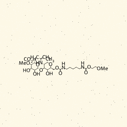 C=C(C)N[C@@H]1[C@H](C)O[C@@H](COC(=O)NCCCCCNC(=O)OCCOC)C(O)[C@H]1O[C@H]1O[C@@H](C(=O)O)C(OC)[C@H](O)[C@@H]1O